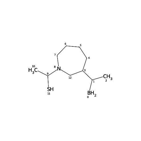 BC(C)C1CCCCN(C(C)S)C1